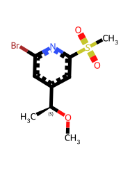 CO[C@@H](C)c1cc(Br)nc(S(C)(=O)=O)c1